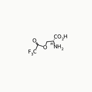 N[C@H](COC(=O)C(F)(F)F)C(=O)O